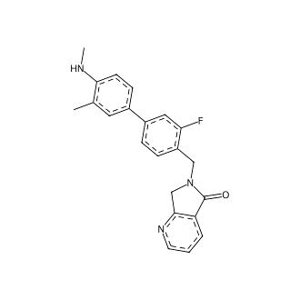 CNc1ccc(-c2ccc(CN3Cc4ncccc4C3=O)c(F)c2)cc1C